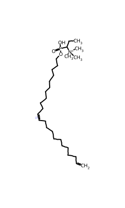 C=CCCCCCCCCC/C=C\CCCCCCCCCCOP(=O)(O)C(CC)[N+](C)(C)C